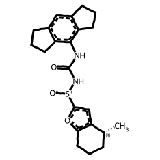 C[C@@H]1CCCc2oc([S+]([O-])NC(=O)Nc3c4c(cc5c3CCC5)CCC4)cc21